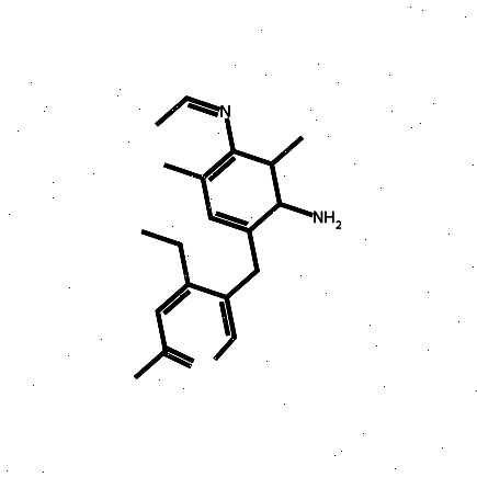 C=C(C)/C=C(CC)\C(=C/C)CC1=CC(C)=C(/N=C\C)C(C)C1N